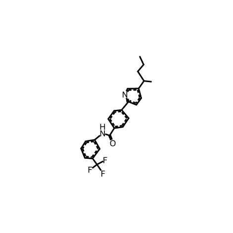 CCCC(C)c1ccc(-c2ccc(C(=O)Nc3cccc(C(F)(F)F)c3)cc2)nc1